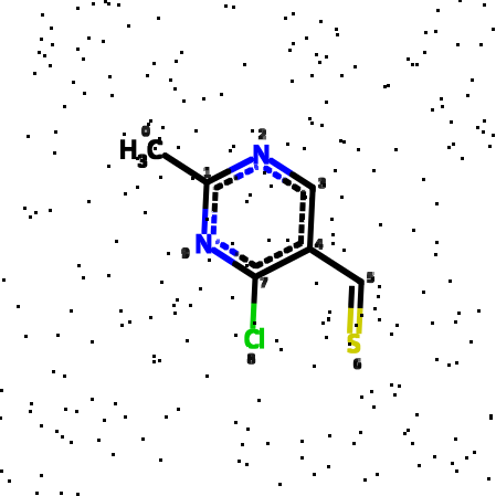 Cc1ncc(C=S)c(Cl)n1